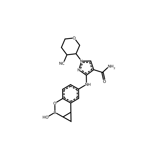 N#CC1CCOCC1n1cc(C(N)=O)c(Nc2ccc3c(c2)C2CC2B(O)O3)n1